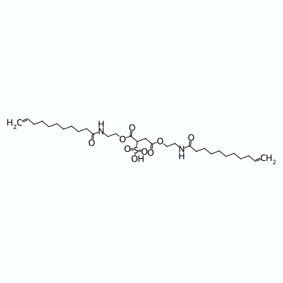 C=CCCCCCCCCC(=O)NCCOC(=O)CC(C(=O)OCCNC(=O)CCCCCCCCC=C)S(=O)(=O)O